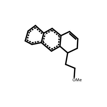 COCCC1CC=Cc2cc3ccccc3cc21